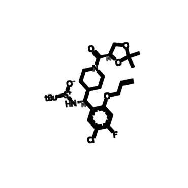 C=CCOc1cc(F)c(Cl)cc1[C@H](N[S+]([O-])C(C)(C)C)C1CCN(C(=O)[C@H]2COC(C)(C)O2)CC1